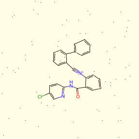 O=C(Nc1ccc(Cl)cn1)c1ccccc1[N+]#Cc1ccccc1-c1cc[c]cc1